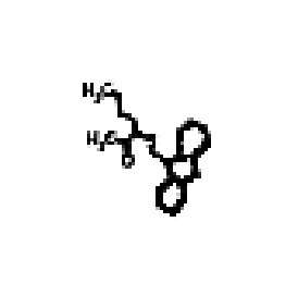 CCCCC(SCc1c2ccccc2cc2ccccc12)C(C)=O